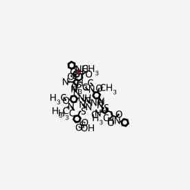 [C-]#[N+]c1cc(/C=C(\C(C)=O)C(=O)Nc2ccccc2)sc1/N=N/c1cc(OC)c(N(CC)CC)cc1Nc1nc(Nc2cc(N(CC)CC)c(OC)cc2/N=N/c2sc(/C=C(/C(C)=O)C(=O)Nc3ccccc3)c(S(=O)(=O)O)c2C#N)nc(SCc2cccc(S(=O)(=O)O)c2)n1